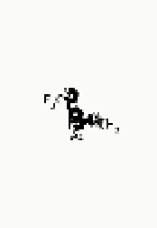 CC(=O)c1cc(-c2cnn(C)c2)c2ccc(Cc3cccnc3C(F)(F)F)cc2n1